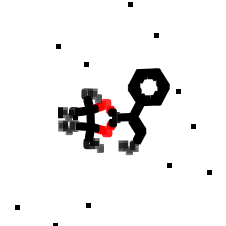 CC=C(B1OC(C)(C)C(C)(C)O1)c1ccccc1